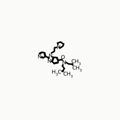 CC(C)CCN(CCC(C)C)C(=O)c1ccc2nc(-c3cccnc3)n(CCCN3CCCCC3)c2c1